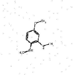 CNc1ccc(OC)cc1NC